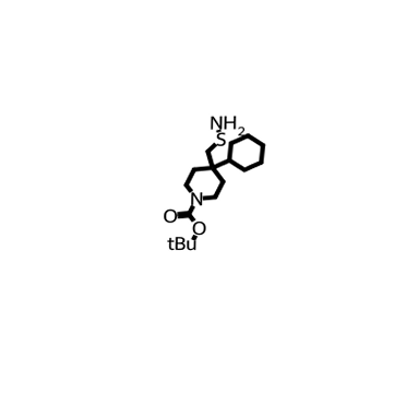 CC(C)(C)OC(=O)N1CCC(CSN)(C2CCCCC2)CC1